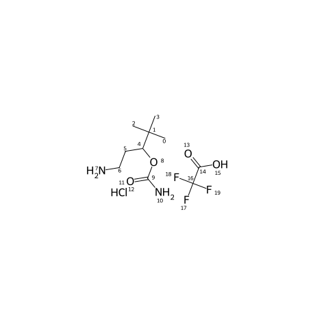 CC(C)(C)C(CCN)OC(N)=O.Cl.O=C(O)C(F)(F)F